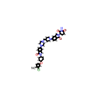 N#Cc1ccc(O[C@H]2CC[C@H](N3Cc4cc(N5CCN(CC6CCN(c7ccc8c(c7)CN(C7CCC(=O)NC7=O)C8=O)CC6)CC5)ccc4C3=O)CC2)cc1Cl